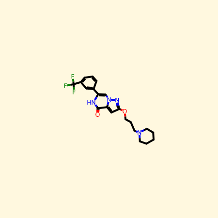 O=c1[nH]c(-c2cccc(C(F)(F)F)c2)cn2nc(OCCCN3CCCCC3)cc12